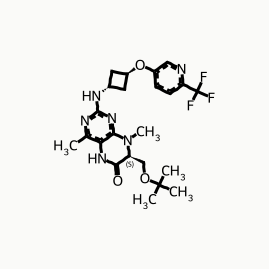 Cc1nc(N[C@H]2C[C@H](Oc3ccc(C(F)(F)F)nc3)C2)nc2c1NC(=O)[C@H](COC(C)(C)C)N2C